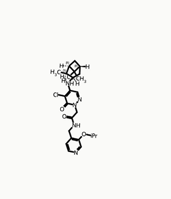 CC(C)Oc1cnccc1CNC(=O)Cn1ncc(N[C@@H]2C[C@H]3C[C@H]([C@@H]2C)C3(C)C)c(Cl)c1=O